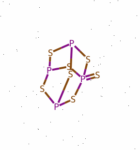 S=P12SP3SP(SP(S3)S1)S2